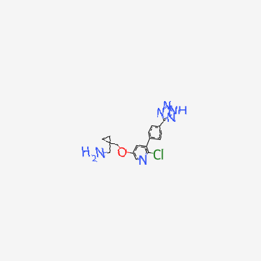 NCC1(COc2cnc(Cl)c(-c3ccc(-c4nn[nH]n4)cc3)c2)CC1